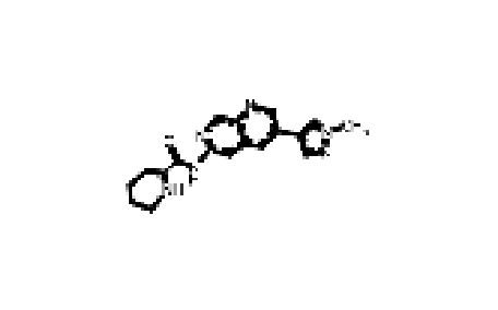 Cn1cc(-c2cnc3cnc(NC(=O)[C@@H]4CCCCN4)cc3c2)cn1